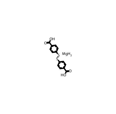 O=C(O)c1ccc(SSc2ccc(C(=O)O)cc2)cc1.[MgH2]